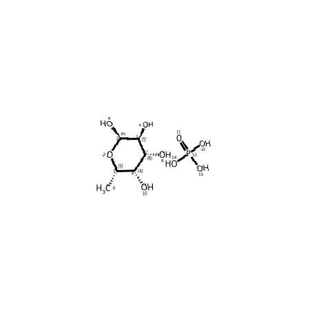 C[C@@H]1O[C@@H](O)[C@@H](O)[C@H](O)[C@@H]1O.O=P(O)(O)O